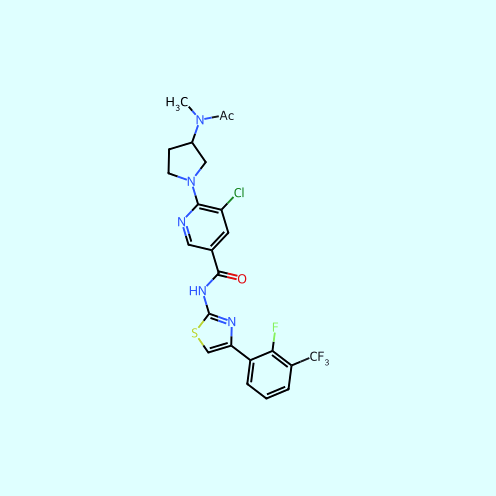 CC(=O)N(C)C1CCN(c2ncc(C(=O)Nc3nc(-c4cccc(C(F)(F)F)c4F)cs3)cc2Cl)C1